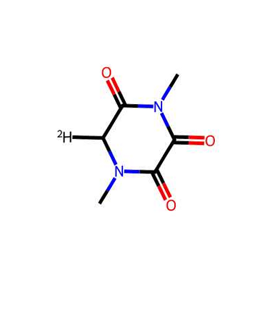 [2H]C1C(=O)N(C)C(=O)C(=O)N1C